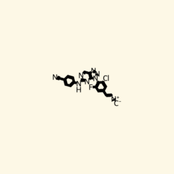 [C-]#[N+]/C=C/c1cc(F)c(-n2nnc3cnc(Nc4ccc(C#N)cc4)nc32)c(Cl)c1